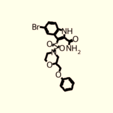 NC(=O)c1[nH]c2ccc(Br)cc2c1S(=O)(=O)N1CCOC(COc2ccccc2)C1